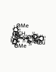 COc1ccc(CN(Cc2ccc(OC)cc2)S(=O)(=O)[C@H](C)[C@@H](C)[C@H]2C=C([C@@H](O)[C@@H]3CC[C@H]3CO[Si](c3ccccc3)(c3ccccc3)C(C)(C)C)C2)cc1